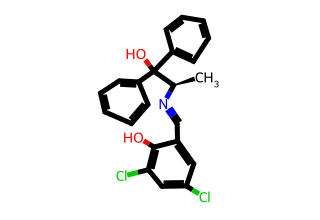 C[C@@H](N=Cc1cc(Cl)cc(Cl)c1O)C(O)(c1ccccc1)c1ccccc1